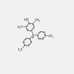 Cc1cc([SH](c2ccc(C(F)(F)F)cc2)c2ccc(C(F)(F)F)cc2)cc(C)c1O